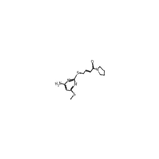 CSc1cc(N)nc(SCC=CC(=O)N2CCCC2)n1